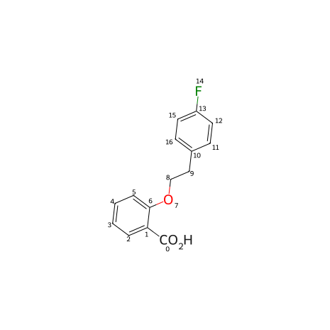 O=C(O)c1ccccc1OCCc1ccc(F)cc1